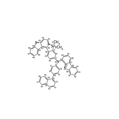 C[Si]1(C)c2cc(N(c3ccc(-c4cccc5ccccc45)cc3)c3cccc4c3sc3ccccc34)ccc2-c2c1ccc1sc3ccccc3c21